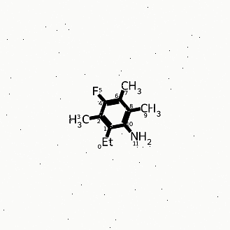 CCc1c(C)c(F)c(C)c(C)c1N